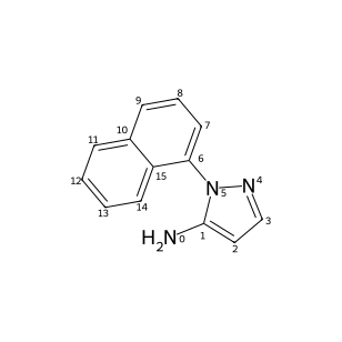 Nc1ccnn1-c1cccc2ccccc12